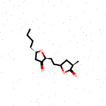 CCCC[C@H]1CC(=O)[C@H](CCC2C[C@@H](C)C(=O)O2)O1